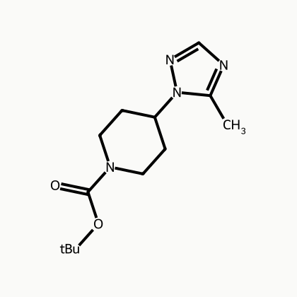 Cc1ncnn1C1CCN(C(=O)OC(C)(C)C)CC1